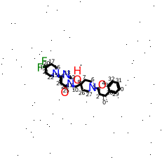 C[C@H](CC(=O)N1CCC(O)(Cn2cnc(N3CCC(F)(F)CC3)cc2=O)CC1)c1ccccc1